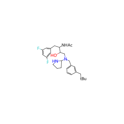 CC(=O)NC(Cc1cc(F)cc(F)c1)C(O)CN(Cc1cccc(CC(C)(C)C)c1)C1CCCN1